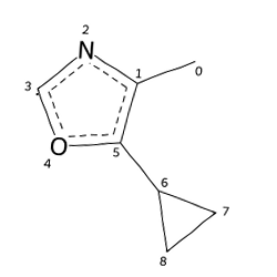 Cc1n[c]oc1C1CC1